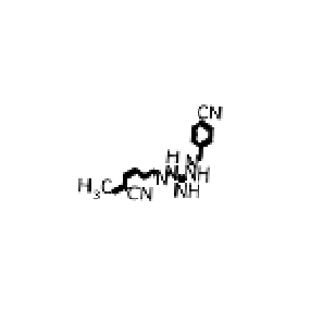 C/C=C(C#N)\C=C/C/C=N/NC(=N)N/N=C/c1ccc(C#N)cc1